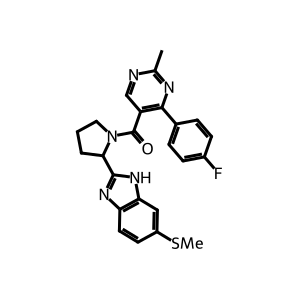 CSc1ccc2nc(C3CCCN3C(=O)c3cnc(C)nc3-c3ccc(F)cc3)[nH]c2c1